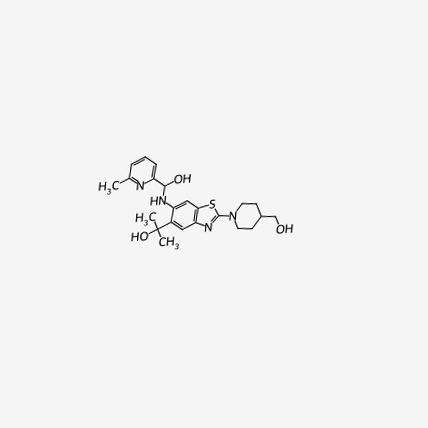 Cc1cccc(C(O)Nc2cc3sc(N4CCC(CO)CC4)nc3cc2C(C)(C)O)n1